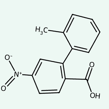 Cc1ccccc1-c1cc([N+](=O)[O-])ccc1C(=O)O